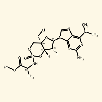 CC(C)OC(=O)[C@H](C)NP1(=O)OC[C@@]2(CCl)O[C@@H](n3cnc4c(N(C)C)nc(N)nc43)[C@H](F)[C@@H]2O1